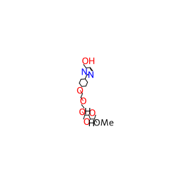 CO[C@@H]1CO[C@H]2[C@@H]1OC[C@H]2OCCOCCOC1CCC(c2nccc(CO)n2)CC1